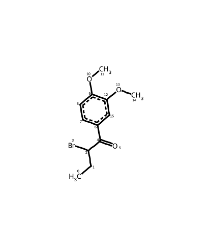 CCC(Br)C(=O)c1ccc(OC)c(OC)c1